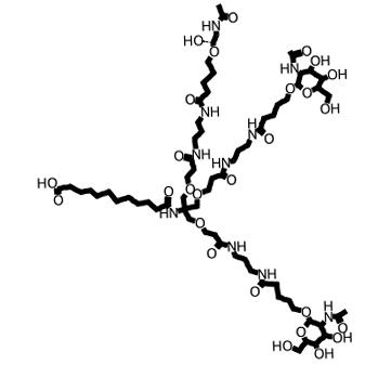 CC(=O)NC[C@@H](O)OCCCCC(=O)NCCCNC(=O)CCOCC(COCCC(=O)NCCCNC(=O)CCCCOC1OC(CO)C(O)C(O)C1NC(C)=O)(COCCC(=O)NCCCNC(=O)CCCCOC1OC(CO)C(O)C(O)C1NC(C)=O)NC(=O)CCCCCCCCCCC(=O)O